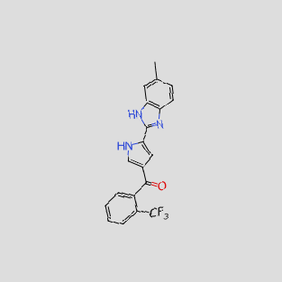 Cc1ccc2nc(-c3cc(C(=O)c4ccccc4C(F)(F)F)c[nH]3)[nH]c2c1